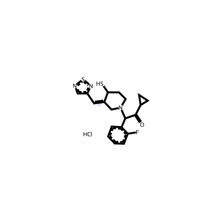 Cl.O=C(C1CC1)C(c1ccccc1F)N1CCC(S)/C(=C\c2cnsn2)C1